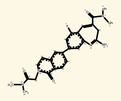 CCCN(CCC)C(=O)C1=Cc2c(F)cc(-c3ccc4c(=O)n(CC(=O)N(C)C)ccc4c3)cc2N=C(N)C1